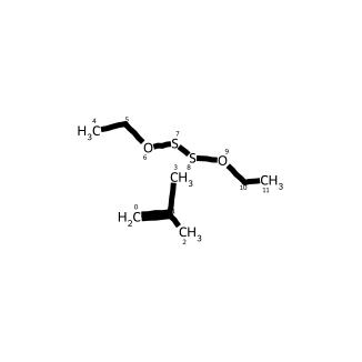 C=C(C)C.CCOSSOCC